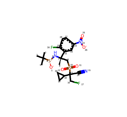 CC(C)(C)[S@@+]([O-])N[C@@](C)(CS(=O)(=O)C(C#N)(CF)C1CC1)c1cc([N+](=O)[O-])ccc1F